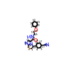 N#Cc1ccc(C2CSc3ncc(C(=O)NCCOc4ccccc4)n32)cc1